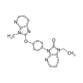 CCn1c(=O)n(-c2ccc(Oc3nc4cccnc4n3C)cc2)c2ncccc21